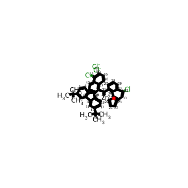 CC(C)(C)c1ccc2c(c1)-c1cc(C(C)(C)C)c[c]([Zr+2]([C]3=CC=CC3)=[C](c3cccc4c(Cl)cccc34)c3cccc4c(Cl)cccc34)c1C2.[Cl-].[Cl-]